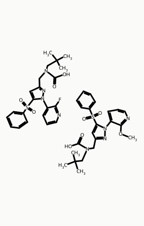 CC(C)(C)CN(Cc1cc(S(=O)(=O)c2ccccc2)n(-c2cccnc2F)n1)C(=O)O.COc1ncccc1-n1nc(CN(CC(C)(C)C)C(=O)O)cc1S(=O)(=O)c1ccccc1